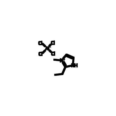 CCc1[nH]cc[n+]1C.[Cl][Al-]([Cl])([Cl])[Cl]